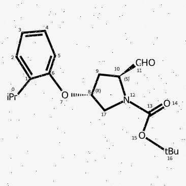 CC(C)c1ccccc1O[C@@H]1C[C@@H](C=O)N(C(=O)OC(C)(C)C)C1